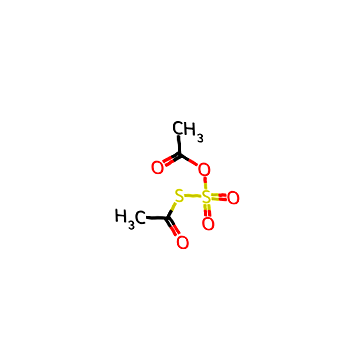 CC(=O)OS(=O)(=O)SC(C)=O